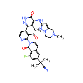 Cc1c(-c2ccnc(-n3ccc4cc(C(C)(C)C#N)cc(F)c4c3=O)c2C=O)n[nH]c(=O)c1Nc1cc2n(n1)CCN(C)C2